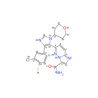 NC(=O)c1cnc2ccc(-c3c(-c4ccc(F)c(Cl)c4)ncn3C3CCOCC3)nn12